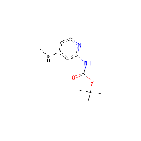 CBc1ccnc(NC(=O)OC(C)(C)C)c1